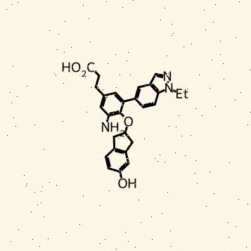 CCn1ncc2cc(-c3cc(CCC(=O)O)cc(N)c3OC3Cc4ccc(O)cc4C3)ccc21